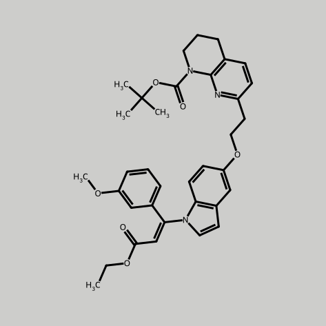 CCOC(=O)C=C(c1cccc(OC)c1)n1ccc2cc(OCCc3ccc4c(n3)N(C(=O)OC(C)(C)C)CCC4)ccc21